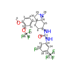 COc1ccc(C23CCC(NC(=O)Nc4cc(F)cc(C(F)(F)F)c4)CC2N(C)CC3)cc1OC(F)(F)F